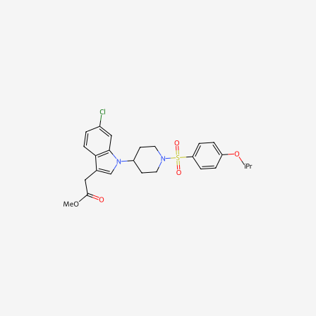 COC(=O)Cc1cn(C2CCN(S(=O)(=O)c3ccc(OC(C)C)cc3)CC2)c2cc(Cl)ccc12